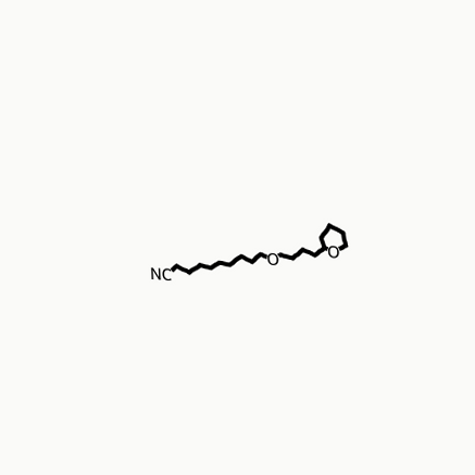 N#CCCCCCCCCCOCCCCC1CCCCO1